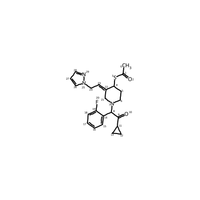 CC(=O)SC1CCN(C(C(=O)C2CC2)c2ccccc2F)C/C1=C\Cn1cccn1